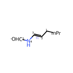 CCCC/C=C/N[C]=O